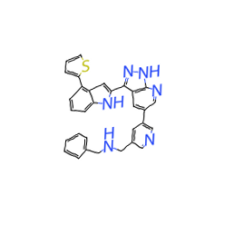 c1ccc(CNCc2cncc(-c3cnc4[nH]nc(-c5cc6c(-c7cccs7)cccc6[nH]5)c4c3)c2)cc1